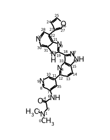 CN(C)CC(=O)Nc1cncc(-c2ccc3[nH]nc(-c4nc5c(-c6ccoc6)cncc5[nH]4)c3n2)c1